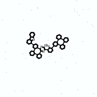 CC(C)(C)c1c(-c2ccc3c(c2)-c2ccccc2-c2ccccc2-c2ccccc2-3)cccc1-c1cnc2c(n1)-c1ccccc1-c1ccccc1-c1cc(-c3cccc4c3sc3ccccc34)ccc1-2